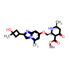 C[C@H]1CC(=O)C(C(=O)OC(C)(C)C)[C@@H](COc2cc(C(F)(F)F)n3cc(C4CC(C)(O)C4)nc3c2)N1